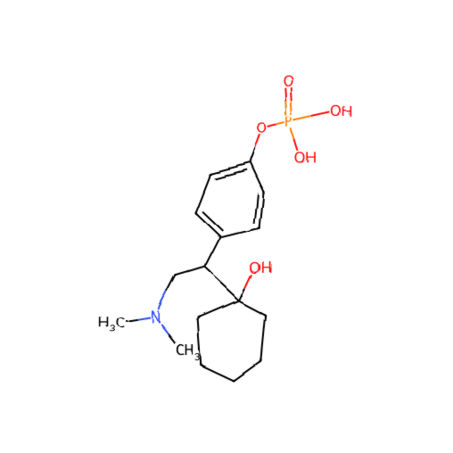 CN(C)CC(c1ccc(OP(=O)(O)O)cc1)C1(O)CCCCC1